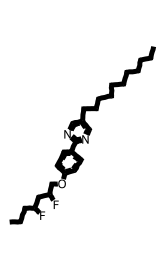 CCCCCCCCCCCc1cnc(-c2ccc(OCC(F)CC(F)CCC)cc2)nc1